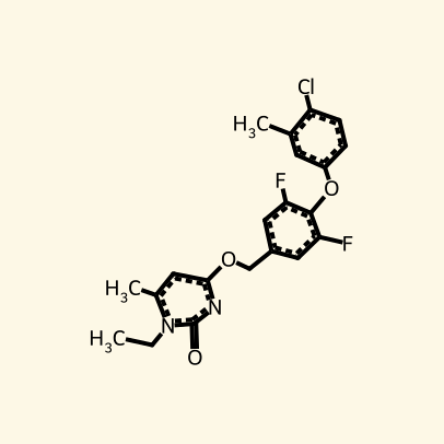 CCn1c(C)cc(OCc2cc(F)c(Oc3ccc(Cl)c(C)c3)c(F)c2)nc1=O